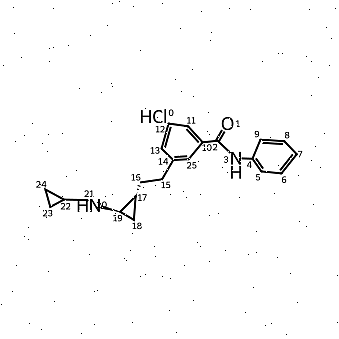 Cl.O=C(Nc1ccccc1)c1cccc(CC[C@@H]2C[C@H]2NCC2CC2)c1